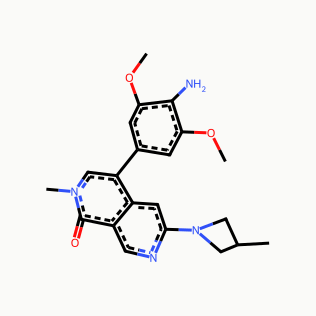 COc1cc(-c2cn(C)c(=O)c3cnc(N4CC(C)C4)cc23)cc(OC)c1N